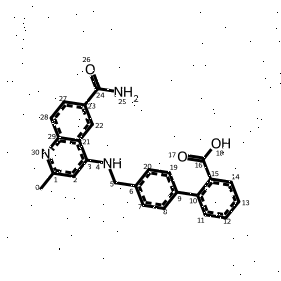 Cc1cc(NCc2ccc(-c3ccccc3C(=O)O)cc2)c2cc(C(N)=O)ccc2n1